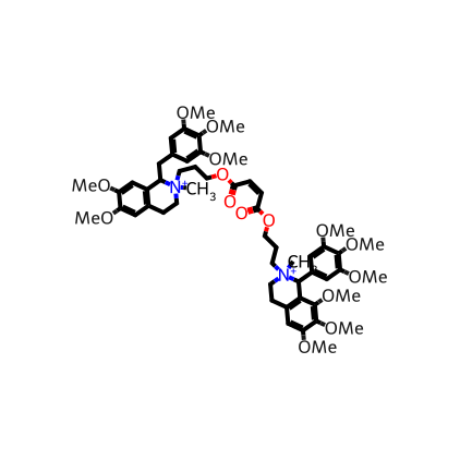 COc1cc2c(cc1OC)C(Cc1cc(OC)c(OC)c(OC)c1)[N+](C)(CCCOC(=O)/C=C\C(=O)OCCC[N+]1(C)CCc3cc(OC)c(OC)c(OC)c3C1c1cc(OC)c(OC)c(OC)c1)CC2